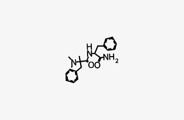 CN(C)C(C)(Cc1ccccc1)C(=O)NC(Cc1ccccc1)C(N)=O